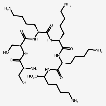 NCCCC[C@H](NC(=O)[C@H](CCCCN)NC(=O)[C@H](CCCCN)NC(=O)[C@H](CCCCN)NC(=O)[C@H](CO)NC(=O)[C@@H](N)CS)C(=O)O